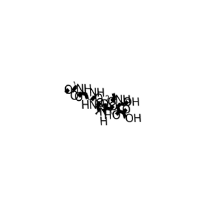 COC(=O)[C@H](C)NC(=O)CC[C@@H](NC(=O)[C@H](C)NC(=O)[C@@H](C)OC1C(O)C(CO)OC(O)C1NC(C)=O)C(N)=O